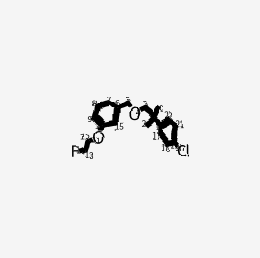 CC(C)(COCc1cccc(OCCF)c1)c1ccc(Cl)cc1